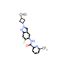 O=C[C@H]1C[C@H](n2cc3cc(NC(=O)c4cccc(C(F)(F)F)n4)c(F)cc3n2)C1